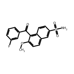 COc1ccc2cc(S(N)(=O)=O)ccc2c1C(=O)c1cccc(F)c1